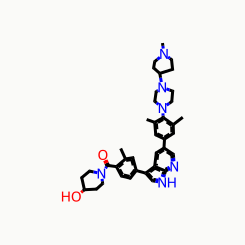 Cc1cc(-c2c[nH]c3ncc(-c4cc(C)c(N5CCN(C6CCN(C)CC6)CC5)c(C)c4)cc23)ccc1C(=O)N1CCC(O)CC1